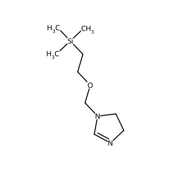 C[Si](C)(C)CCOCN1C=NCC1